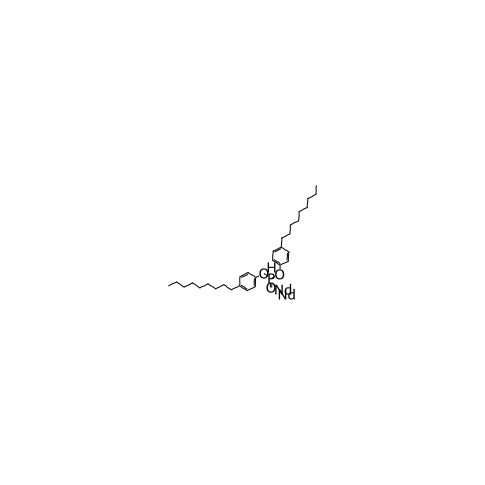 CCCCCCCCCc1ccc(O[PH](=O)Oc2ccc(CCCCCCCCC)cc2)cc1.[Nd].[Nd]